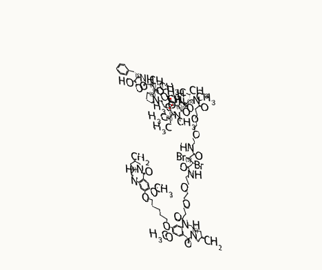 C=C1C[C@H]2CN(C(=O)CCOCCOCCNC(=O)C(Br)[C@@H](Br)C(=O)NCCOCCOCCC(=O)N(C)[C@H](C(=O)N[C@H](C(=O)N(C)[C@H](C(CC(=O)N3CCC[C@H]3[C@H](OC)[C@@H](C)C(=O)N[C@@H](Cc3ccccc3)C(=O)O)OC)[C@H](C)CC)C(C)C)C(C)C)c3cc(OCCCCCOc4cc5c(cc4OC)C(=O)N4CC(=C)C[C@H]4C=N5)c(OC)cc3C(=O)N2C1